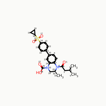 CC(C)CC(=O)N1c2ccc(-c3ccc(S(=O)(=O)C4CC4)cc3)cc2N(C(=O)O)C[C@@H]1C